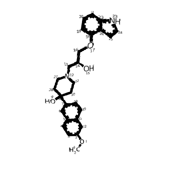 COc1ccc2cc(C3(O)CCN(C[C@H](O)COc4cccc5[nH]ccc45)CC3)ccc2c1